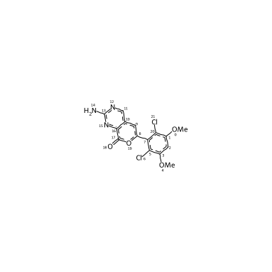 COc1cc(OC)c(Cl)c(-c2cc3cnc(N)nc3c(=O)o2)c1Cl